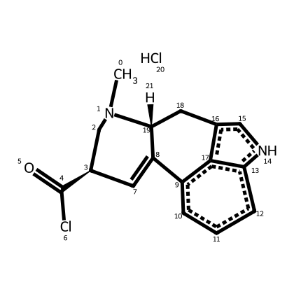 CN1C[C@H](C(=O)Cl)C=C2c3cccc4[nH]cc(c34)C[C@H]21.Cl